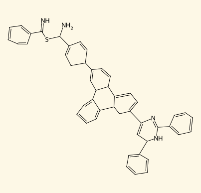 N=C(SC(N)C1=CCC(C2=CC3c4ccccc4C4CC(C5=CC(c6ccccc6)NC(c6ccccc6)=N5)=CC=C4C3C=C2)C=C1)c1ccccc1